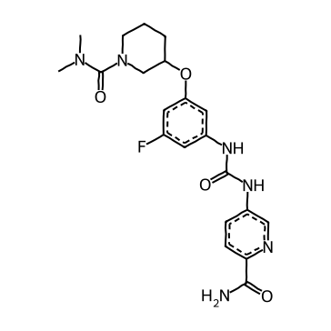 CN(C)C(=O)N1CCCC(Oc2cc(F)cc(NC(=O)Nc3ccc(C(N)=O)nc3)c2)C1